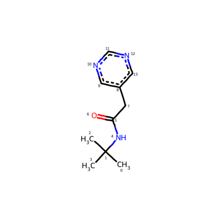 CC(C)(C)NC(=O)Cc1cncnc1